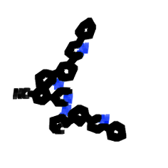 N#Cc1ccc(-c2cc(-n3c4ccccc4c4cc(-c5ccc(-c6ccccc6)nc5)ccc43)ncc2-n2c3ccccc3c3cc(-c4ccc(-c5ccccc5)nc4)ccc32)cc1